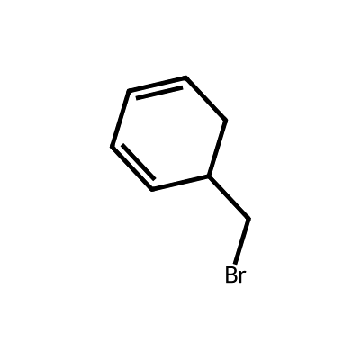 BrCC1C=CC=CC1